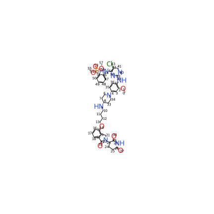 COc1cc(N2CCC(NCCCCOc3cccc4c3CN(C3CCC(=O)NC3=O)C4=O)CC2)ccc1Nc1ncc(Cl)c(Nc2ccccc2P(=O)(OC)OC)n1